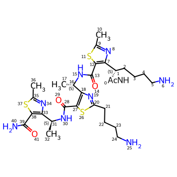 CC(=O)N[C@@H](CCCCN)c1nc(C)sc1C(=O)N[C@@H](C)c1nc(CCCCN)sc1C(=O)N[C@@H](C)c1nc(C)sc1C(N)=O